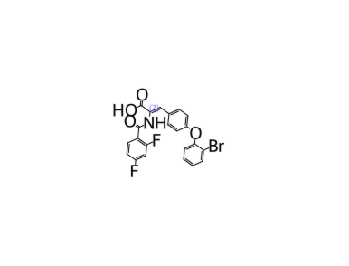 O=C(O)/C(=C/c1ccc(Oc2ccccc2Br)cc1)NC(=O)c1ccc(F)cc1F